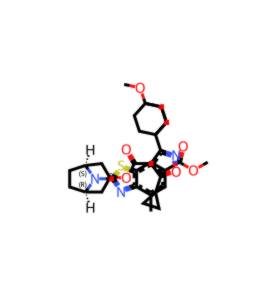 COC(=O)c1cc(C)c2nc(N3[C@@H]4CC[C@H]3C[C@@H](OC(=O)c3c(C56CCC(OC)(CC5)CC6)noc3C3CC3)C4)sc2c1